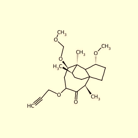 C#CCOC1C[C@@H](OCOC)[C@@]2(C)C3[C@H](OC)CCC3(CC[C@H]2C)[C@@H](C)C1=O